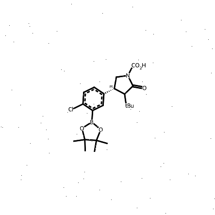 CC(C)(C)C1C(=O)N(C(=O)O)C[C@H]1c1ccc(Cl)c(B2OC(C)(C)C(C)(C)O2)c1